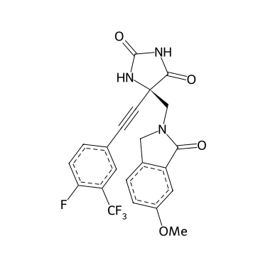 COc1ccc2c(c1)C(=O)N(C[C@@]1(C#Cc3ccc(F)c(C(F)(F)F)c3)NC(=O)NC1=O)C2